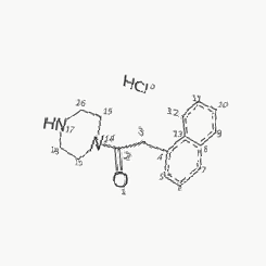 Cl.O=C(Cc1cccc2ccccc12)N1CCNCC1